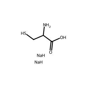 NC(CS)C(=O)O.[NaH].[NaH]